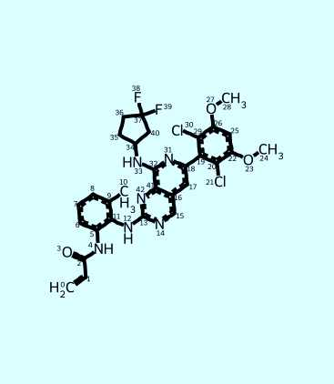 C=CC(=O)Nc1cccc(C)c1Nc1ncc2cc(-c3c(Cl)c(OC)cc(OC)c3Cl)nc(NC3CCC(F)(F)C3)c2n1